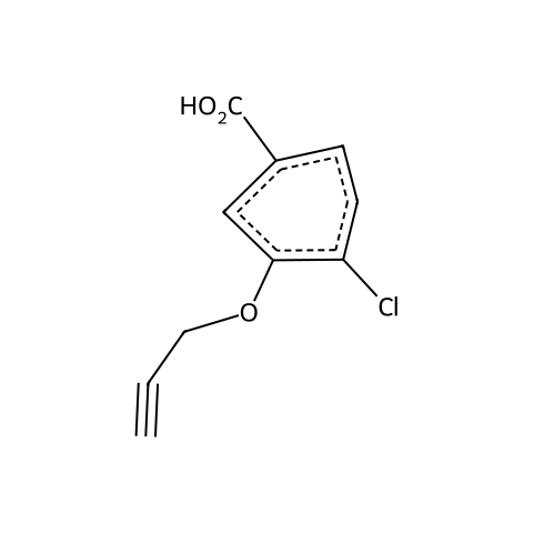 C#CCOc1cc(C(=O)O)ccc1Cl